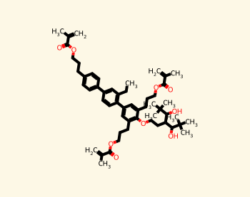 C=C(C)C(=O)OCCCc1ccc(-c2ccc(-c3cc(CCCOC(=O)C(=C)C)c(OCCC(C(O)C(C)(C)C)C(O)C(C)(C)C)c(CCCOC(=O)C(=C)C)c3)c(CC)c2)cc1